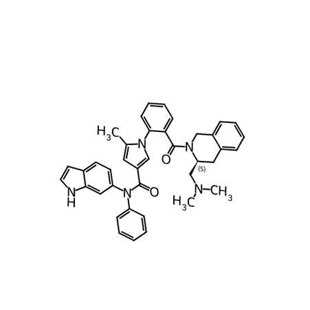 Cc1cc(C(=O)N(c2ccccc2)c2ccc3cc[nH]c3c2)cn1-c1ccccc1C(=O)N1Cc2ccccc2C[C@H]1CN(C)C